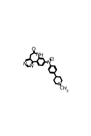 CN1CCC(c2ccc(N(Cl)c3ccc4c(c3)NC(=O)Cc3cncnc3-4)cc2)CC1